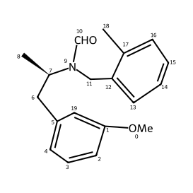 COc1cccc(C[C@@H](C)N(C=O)Cc2ccccc2C)c1